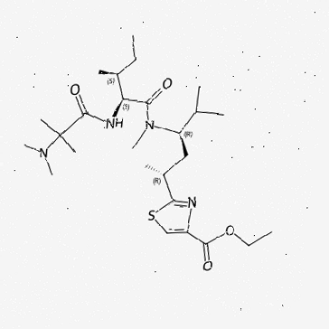 CCOC(=O)c1csc([C@H](C)C[C@H](C(C)C)N(C)C(=O)[C@@H](NC(=O)C(C)(C)N(C)C)[C@@H](C)CC)n1